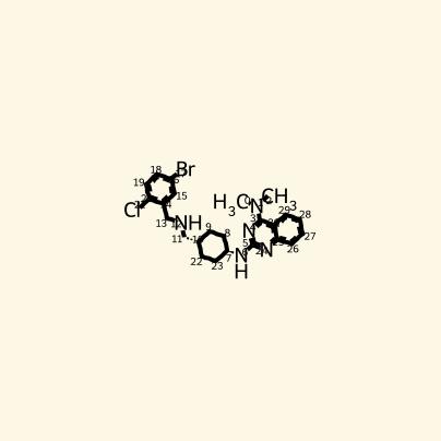 CN(C)c1nc(N[C@H]2CC[C@@H](CNCc3cc(Br)ccc3Cl)CC2)nc2ccccc12